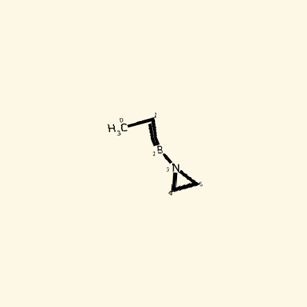 CC=BN1CC1